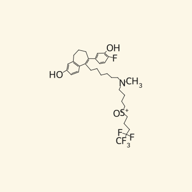 CN(CCCCCCC1=C(c2ccc(F)c(O)c2)CCCc2cc(O)ccc21)CCCC[S+]([O-])CCCC(F)(F)C(F)(F)F